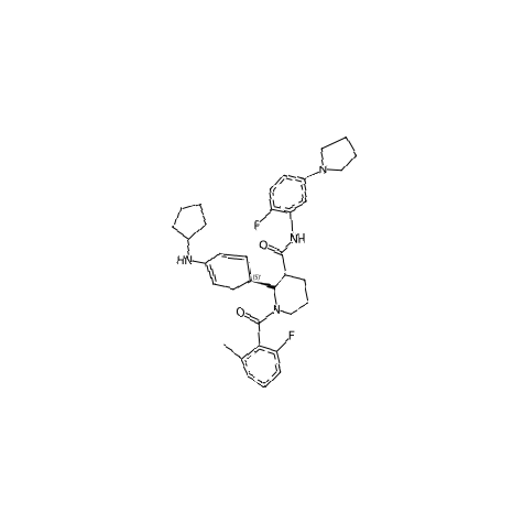 Cc1cccc(F)c1C(=O)N1CCCC(C(=O)Nc2cc(N3CCCC3)ccc2F)C1[C@@H]1C=CC(NC2CCCC2)=CC1